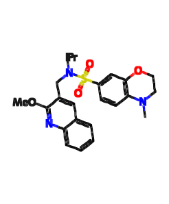 COc1nc2ccccc2cc1CN(C(C)C)S(=O)(=O)c1ccc2c(c1)OCCN2C